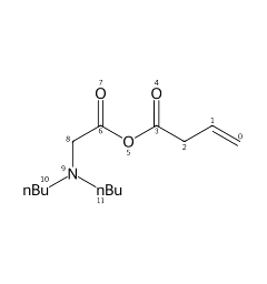 C=CCC(=O)OC(=O)CN(CCCC)CCCC